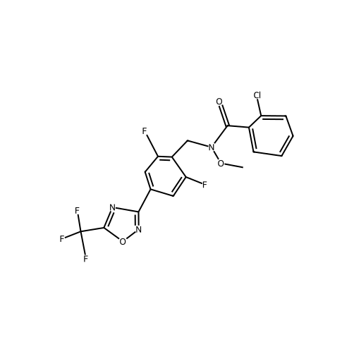 CON(Cc1c(F)cc(-c2noc(C(F)(F)F)n2)cc1F)C(=O)c1ccccc1Cl